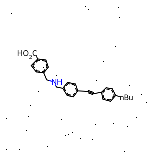 CCCCc1ccc(C#Cc2ccc(CNCc3ccc(C(=O)O)cc3)cc2)cc1